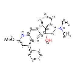 COc1cc(-c2ccccc2)c2cc(C(O)(CCN(C)C)c3ccccc3)ccc2n1